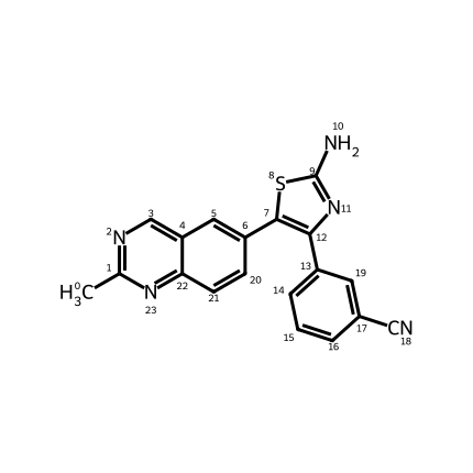 Cc1ncc2cc(-c3sc(N)nc3-c3cccc(C#N)c3)ccc2n1